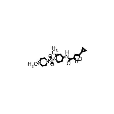 C[C@H]1C[C@H](NC(=O)c2cc(C3CC3)on2)CCN1S(=O)(=O)N1CCN(C)CC1